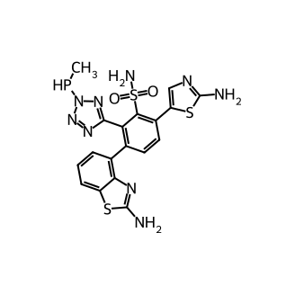 CPn1nnc(-c2c(-c3cccc4sc(N)nc34)ccc(-c3cnc(N)s3)c2S(N)(=O)=O)n1